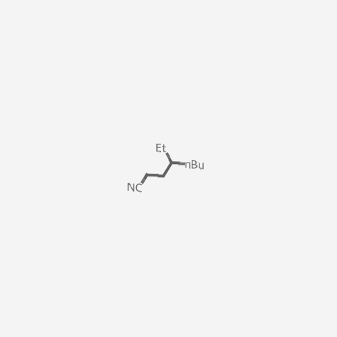 CCCCC(CC)CCC#N